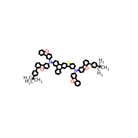 CC(C)(C)c1ccc(-c2cccc3c2oc2ccc(N(c4ccc5oc6ccccc6c5c4)c4ccc5sc6cc7c8ccc(N(c9ccc%10oc%11ccccc%11c%10c9)c9ccc%10oc%11c(-c%12ccc(C(C)(C)C)cc%12)cccc%11c%10c9)cc8c8ccccc8c7cc6c5c4)cc23)cc1